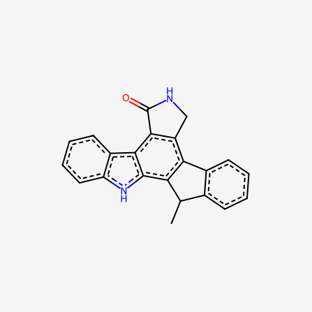 CC1c2ccccc2-c2c3c(c4c([nH]c5ccccc54)c21)C(=O)NC3